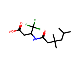 CC(C)CC(C)(C)CC(=O)NC(CC(=O)O)C(F)(F)F